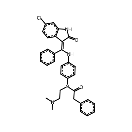 CN(C)CCN(C(=O)Cc1ccccc1)c1ccc(N/C(=C2\C(=O)Nc3cc(Cl)ccc32)c2ccccc2)cc1